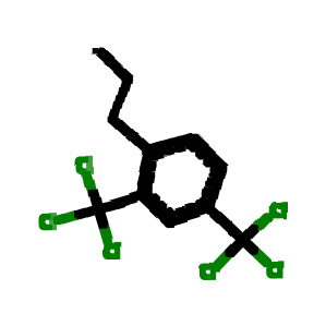 [CH2]CCc1ccc(C(Cl)(Cl)Cl)cc1C(Cl)(Cl)Cl